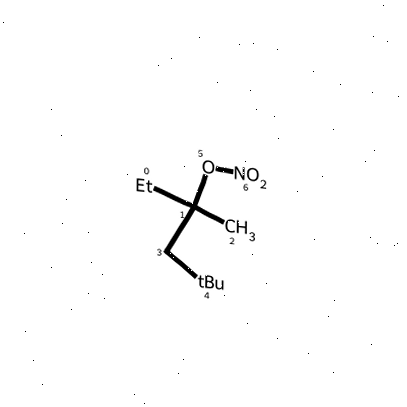 CCC(C)(CC(C)(C)C)O[N+](=O)[O-]